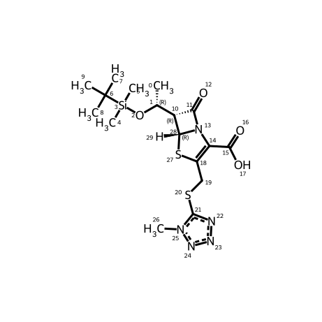 C[C@@H](O[Si](C)(C)C(C)(C)C)[C@@H]1C(=O)N2C(C(=O)O)=C(CSc3nnnn3C)S[C@H]12